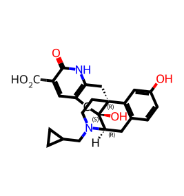 O=C(O)c1cc2c([nH]c1=O)C[C@]13CCN(CC4CC4)[C@H](Cc4ccc(O)cc41)[C@]3(O)C2